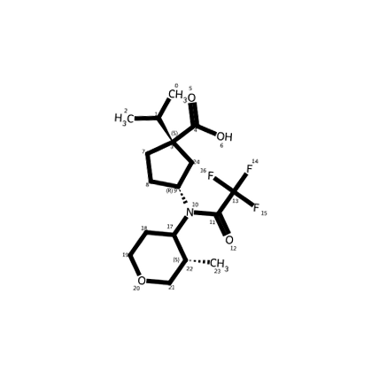 CC(C)[C@]1(C(=O)O)CC[C@@H](N(C(=O)C(F)(F)F)C2CCOC[C@H]2C)C1